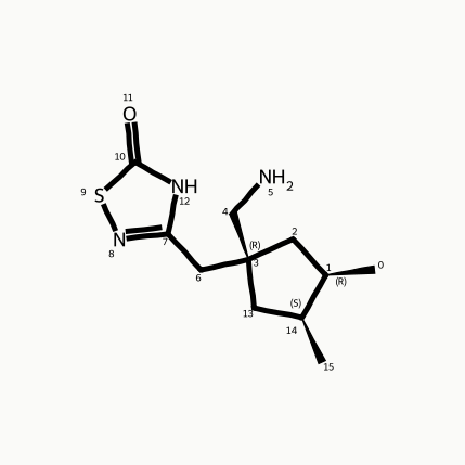 C[C@@H]1C[C@@](CN)(Cc2nsc(=O)[nH]2)C[C@@H]1C